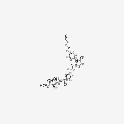 CCCCCCc1ccc(N2C(=O)CC[C@@H]2CCCc2ccc(C(=O)OCC(O)C(O)C(O)CO)s2)cc1